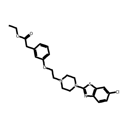 CCOC(=O)Cc1cccc(OCCN2CCN(c3nc4ccc(Cl)cc4s3)CC2)c1